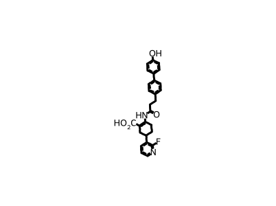 O=C(CCc1ccc(-c2ccc(O)cc2)cc1)NC1=C(C(=O)O)CC(c2cccnc2F)CC1